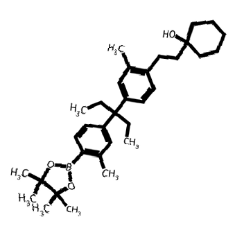 CCC(CC)(c1ccc(CCC2(O)CCCCC2)c(C)c1)c1ccc(B2OC(C)(C)C(C)(C)O2)c(C)c1